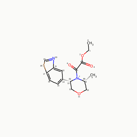 CCOC(=O)C(=O)N1[C@H](C)COC[C@@H]1c1ccc2scnc2c1